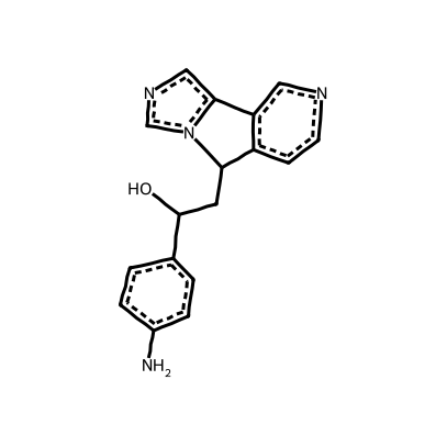 Nc1ccc(C(O)CC2c3ccncc3-c3cncn32)cc1